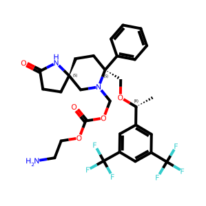 C[C@@H](OC[C@@]1(c2ccccc2)CC[C@]2(CCC(=O)N2)CN1COC(=O)OCCN)c1cc(C(F)(F)F)cc(C(F)(F)F)c1